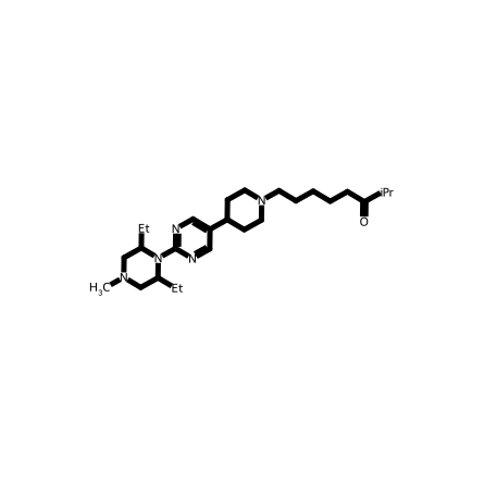 CCC1CN(C)CC(CC)N1c1ncc(C2CCN(CCCCCC(=O)C(C)C)CC2)cn1